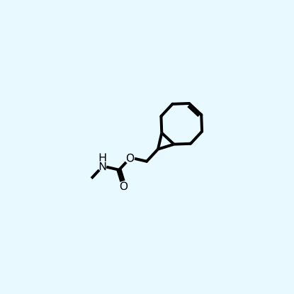 CNC(=O)OCC1C2CC/C=C\CCC21